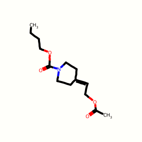 CCCCOC(=O)N1CCC(=CCOC(C)=O)CC1